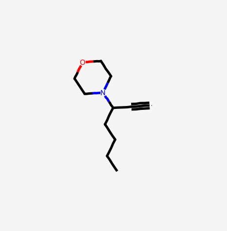 [C]#CC(CCCC)N1CCOCC1